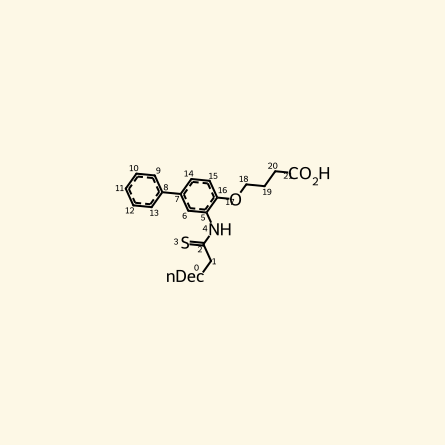 CCCCCCCCCCCC(=S)Nc1cc(-c2ccccc2)ccc1OCCCC(=O)O